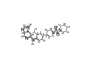 CCc1cc(C2=CCN(S(=O)(=O)N3CCCCC3)CC2)ccc1N(C)c1cc2c(cn1)ncn2C